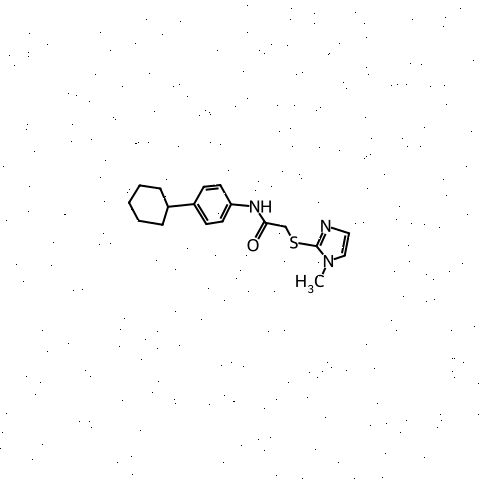 Cn1ccnc1SCC(=O)Nc1ccc(C2CCCCC2)cc1